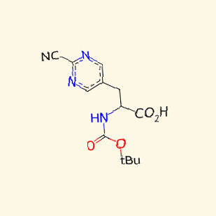 CC(C)(C)OC(=O)NC(Cc1cnc(C#N)nc1)C(=O)O